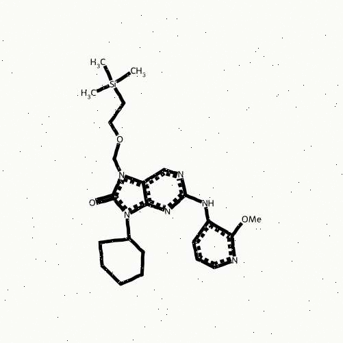 COc1ncccc1Nc1ncc2c(n1)n(C1CCCCC1)c(=O)n2COCC[Si](C)(C)C